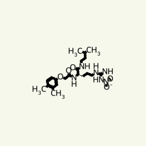 Cc1ccc(OCC(=O)N[C@@H](CCCNC(=N)N[N+](=O)[O-])C(=O)NCCC(C)C)cc1C